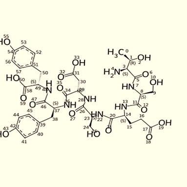 C[C@@H](O)[C@H](N)C(=O)N[C@@H](CO)C(=O)N[C@@H](CCC(=O)O)C(=O)N[C@@H](CO)C(=O)N[C@@H](CC(=O)O)C(=O)N[C@@H](Cc1ccc(O)cc1)C(=O)N[C@@H](Cc1ccc(O)cc1)C(=O)O